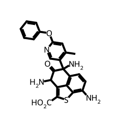 Cc1cc(Oc2ccccc2)ncc1C1(N)C(=O)C(N)c2c(C(=O)O)sc3c(N)ccc1c23